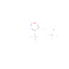 Cc1nc(C(F)(O[Si](C)(C)C(C)(C)C)C(F)F)c(B2OC(C)(C)C(C)(C)O2)o1